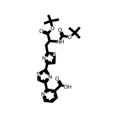 CC(C)(C)OC(=O)NC(Cc1nc(-c2nc(-c3ncccc3C(=O)O)cs2)cs1)C(=O)OC(C)(C)C